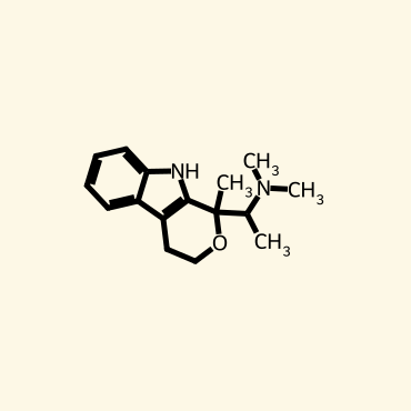 CC(N(C)C)C1(C)OCCc2c1[nH]c1ccccc21